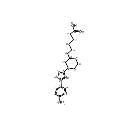 Nc1ccc(-c2noc(C3CCCC(CCCCCC(=O)O)C3)n2)cn1